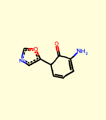 NC1=CC=CC(c2cnco2)C1=O